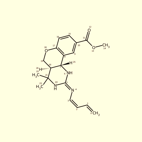 C=C/C=C\N=C1\N[C@H]2c3cc(C(=O)OC)ccc3OC[C@@H]2C(C)(C)N1